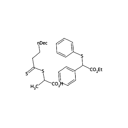 CCCCCCCCCCCCC(=S)SC(C)C(=O)O.CCOC(=O)C(Sc1ccccc1)c1ccccc1